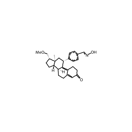 COC[C@H]1CC[C@H]2[C@@H]3CCC4=CC(=O)CCC4=C3[C@@H](c3ccc(C=NO)cc3)C[C@]12C